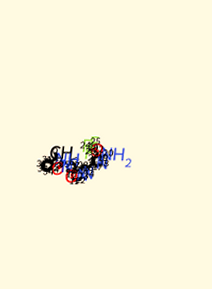 CC(NC(=O)N1CCC2(C1)OCCn1nc(-c3cnc(N)c(OC(F)(F)F)c3)cc12)c1ccccc1